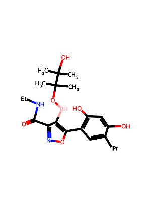 CCNC(=O)c1noc(-c2cc(C(C)C)c(O)cc2O)c1BOC(C)(C)C(C)(C)O